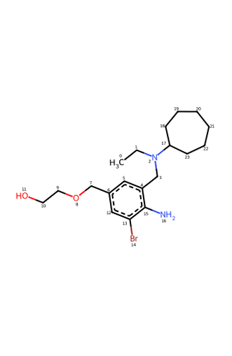 CCN(Cc1cc(COCCO)cc(Br)c1N)C1CCCCCC1